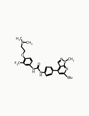 CN(C)CCOc1ccc(NC(=O)Nc2ccc(-c3cc(C(C)(C)C)nc4c3cnn4C)cc2)cc1C(F)(F)F